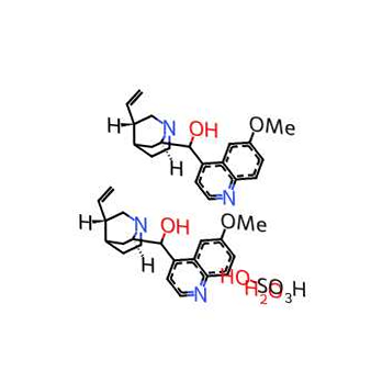 C=C[C@@H]1CN2CCC1C[C@@H]2C(O)c1ccnc2ccc(OC)cc12.C=C[C@@H]1CN2CCC1C[C@@H]2C(O)c1ccnc2ccc(OC)cc12.O.O=S(=O)(O)O